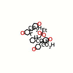 CC1(C)CC2OC2CC1(CC1CCC2OC2C1)C(=O)O.CCC12OC1(CC(C)(C(=O)O)C1(C)CCCCC1)O2.O=C(O)C1(CC2CCC3OC3C2)CCC2OC2C1